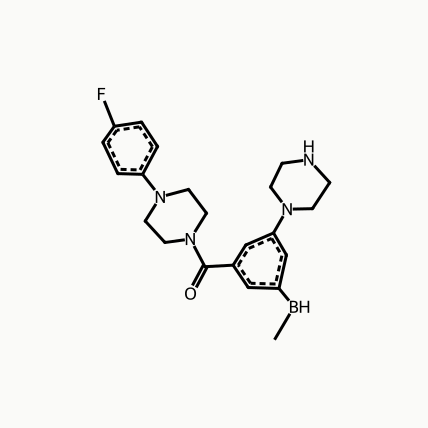 CBc1cc(C(=O)N2CCN(c3ccc(F)cc3)CC2)cc(N2CCNCC2)c1